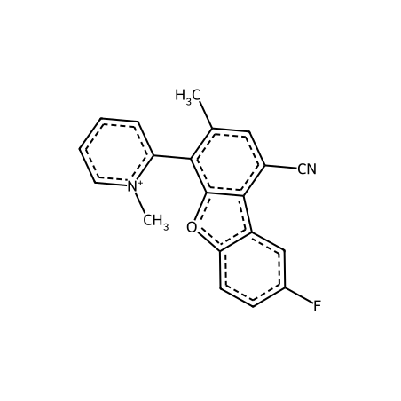 Cc1cc(C#N)c2c(oc3ccc(F)cc32)c1-c1cccc[n+]1C